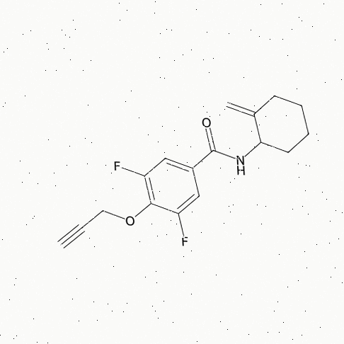 C#CCOc1c(F)cc(C(=O)NC2CCCCC2=C)cc1F